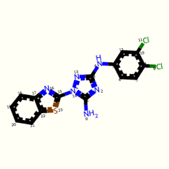 Nc1nc(Nc2ccc(Cl)c(Cl)c2)nn1-c1nc2ccccc2s1